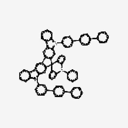 c1ccc(-c2ccc(-c3ccc(-n4c5ccccc5c5cc6c(cc54)C4(c5cc7c(cc5-6)c5ccccc5n7-c5cccc(-c6ccc(-c7ccccc7)cc6)c5)c5ccccc5N(c5ccccc5)c5ccccc54)cc3)cc2)cc1